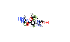 Cc1[nH]nc(Cl)c1NC(=O)c1cc(F)c(-c2nc(CO)n(C)n2)cc1O[C@@H](C)C(F)(F)F